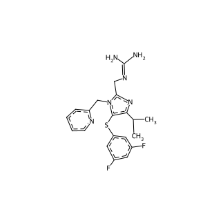 CC(C)c1nc(CN=C(N)N)n(Cc2ccccn2)c1Sc1cc(F)cc(F)c1